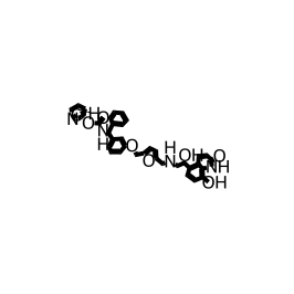 O=C(N[C@@H](c1ccccc1)c1cccc(OCc2ccc(CNC[C@H](O)c3ccc(O)c4[nH]c(=O)ccc34)o2)c1)O[C@H]1CN2CCC1CC2